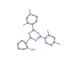 Cc1ccc(-c2nc(-c3ccc(C)cc3C)nc(-c3c[c]ccc3O)n2)c(C)c1